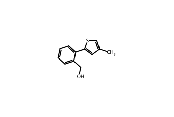 Cc1csc(-c2ccccc2CO)c1